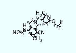 Cc1nc(OCC(F)F)ccc1CN1CCc2c(NCC#N)nc(C)c(C#N)c2C1